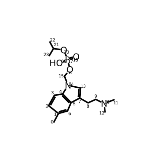 Cc1ccc2c(c1)c(CCN(C)C)cn2COP(=O)(O)OC(C)C